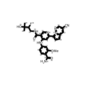 COc1cc(Nc2cc(-c3ccc4cc(C#N)cnn34)ncc2C(=O)NCC(F)C(C)(C)O)ccc1C(N)=O